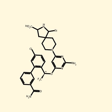 CCC1NC(C(=O)O)CC12CCN(c1cc(O[C@H](c3ccc(Cl)cc3-c3cccc(C(N)=O)c3)C(F)(F)F)nc(N)n1)CC2